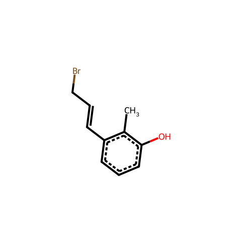 Cc1c(O)cccc1C=CCBr